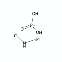 CC(C)NCl.O=[PH](O)O